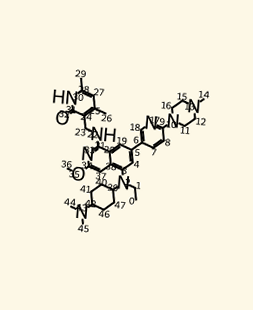 CCN(c1cc(-c2ccc(N3CCN(C)CC3)nc2)cc2c(NCc3c(C)cc(C)[nH]c3=O)nc(OC)cc12)C1CCC(N(C)C)CC1